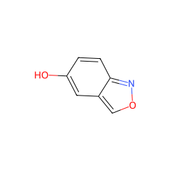 Oc1ccc2nocc2c1